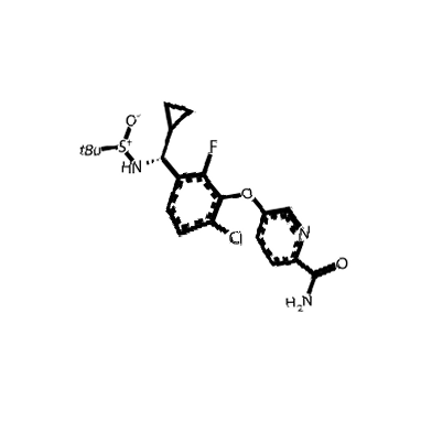 CC(C)(C)[S+]([O-])N[C@@H](c1ccc(Cl)c(Oc2ccc(C(N)=O)nc2)c1F)C1CC1